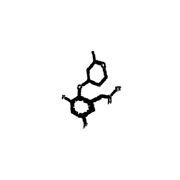 CCNCc1cc(F)cc(F)c1OC1CCOC(C)C1